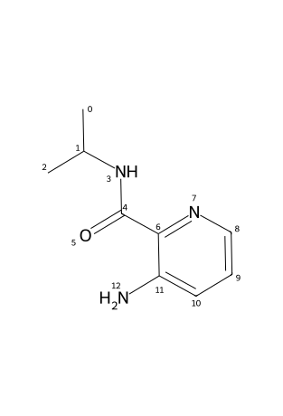 CC(C)NC(=O)c1ncccc1N